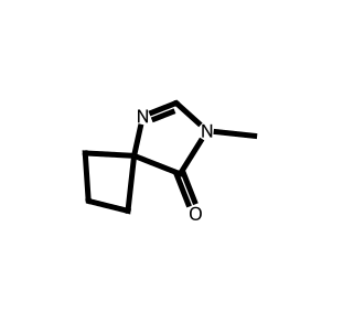 CN1C=NC2(CCC2)C1=O